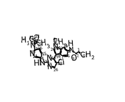 C=CC(=O)Nc1ccc2c(-c3nc(Nc4ccc(N=S(C)(C)=O)nc4)ncc3Cl)cn(C)c2c1